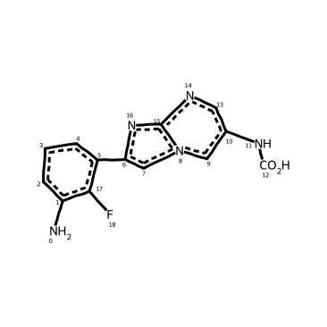 Nc1cccc(-c2cn3cc(NC(=O)O)cnc3n2)c1F